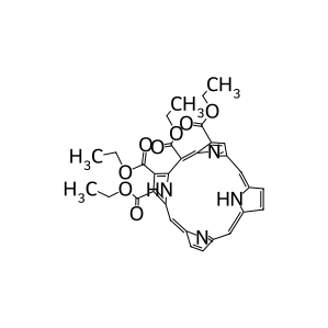 CCOC(=O)C1=Cc2cc3ccc(cc4nc(cc5[nH]c(c(C(=O)OCC)c1n2)c(C(=O)OCC)c5C(=O)OCC)C=C4)[nH]3